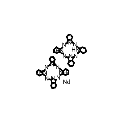 [Nd].c1ccc2c(c1)-c1nc-2nc2[nH]c(nc3nc(nc4[nH]c(n1)c1ccccc41)-c1ccccc1-3)c1ccccc21.c1ccc2c(c1)-c1nc-2nc2[nH]c(nc3nc(nc4[nH]c(n1)c1ccccc41)-c1ccccc1-3)c1ccccc21